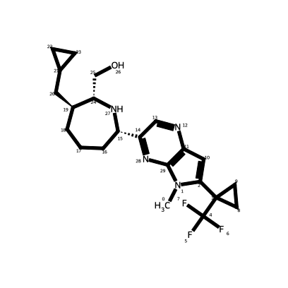 Cn1c(C2(C(F)(F)F)CC2)cc2ncc([C@@H]3CCC[C@@H](CC4CC4)[C@H](CO)N3)nc21